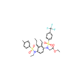 C/C=c1/c(N(CC(=O)OCC)S(=O)(=O)c2ccc(C(F)(F)F)cc2)ccc(N(CC)S(=O)(=O)c2ccc(C)cc2)/c1=C/CC